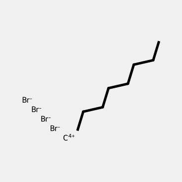 CCCCCCCC.[Br-].[Br-].[Br-].[Br-].[C+4]